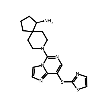 N[C@@H]1CCCC12CCN(c1ncc(Sc3nccs3)c3nccn13)CC2